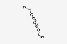 CC(C)CCCC(C)CCc1ccc(-c2cc3sc4c(ccc5c6sc(-c7ccc(CCC(C)CC(C)C)cc7)cc6sc54)c3s2)cc1